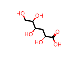 O=C(O)[C@H](O)C[C@@H](O)[C@H](O)CO